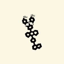 CC(C)(C)c1ccc2c(c1)B1c3cc(C(C)(C)C)ccc3Sc3cc(C4=c5ccccc5=C(c5ccc(-c6cccc7ccccc67)cc5)C5C=CC=CC45)cc(c31)S2